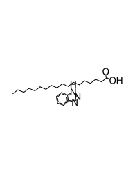 CCCCCCCCCCCCCCCCCC(=O)O.c1ccc2[nH]nnc2c1